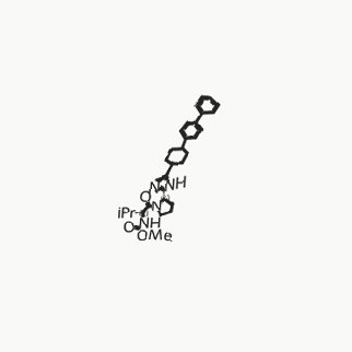 COC(=O)N[C@@H](C(=O)N1CCC[C@H]1c1ncc(C2CCC(c3ccc(-c4ccccc4)cc3)CC2)[nH]1)C(C)C